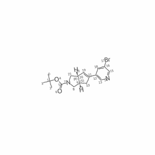 CC(C)(C)OC(=O)N1C[C@H]2CC(c3cncc(Br)c3)=C[C@H]2C1